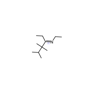 CC/N=C(\CC)C(C)(C)C(C)C